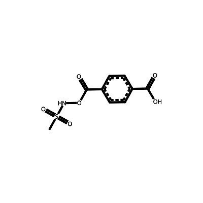 CS(=O)(=O)NOC(=O)c1ccc(C(=O)O)cc1